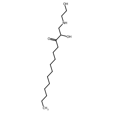 CCCCCCCCCCCC(=O)C(O)CNCCO